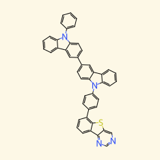 c1ccc(-n2c3ccccc3c3cc(-c4ccc5c(c4)c4ccccc4n5-c4ccc(-c5cccc6c5sc5cncnc56)cc4)ccc32)cc1